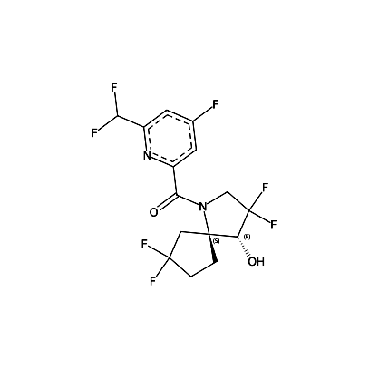 O=C(c1cc(F)cc(C(F)F)n1)N1CC(F)(F)[C@H](O)[C@@]12CCC(F)(F)C2